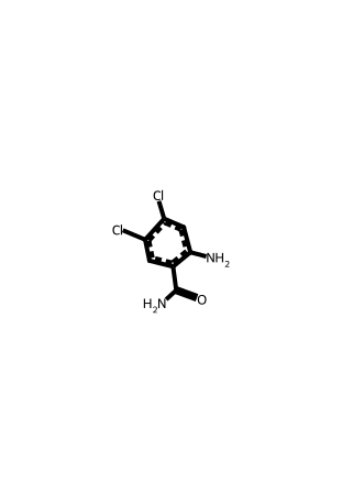 NC(=O)c1cc(Cl)c(Cl)cc1N